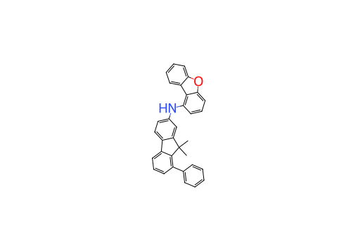 CC1(C)c2cc(Nc3cccc4oc5ccccc5c34)ccc2-c2cccc(-c3ccccc3)c21